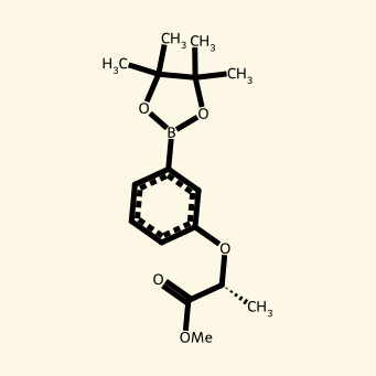 COC(=O)[C@@H](C)Oc1cccc(B2OC(C)(C)C(C)(C)O2)c1